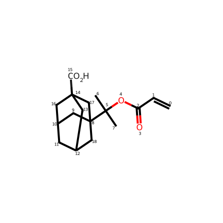 C=CC(=O)OC(C)(C)C12CC3CC(CC(C(=O)O)(C3)C1)C2